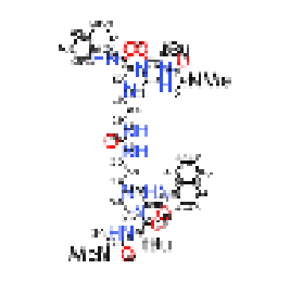 CN[C@@H](C)C(=O)N[C@H](C(=O)N1CCN(CCCNC(=O)NCCCN2CCN(C(=O)[C@@H](NC(=O)[C@H](C)NC)C(C)(C)C)[C@H](C(=O)N[C@@H]3CCCc4ccccc43)C2)C[C@H]1C(=O)N[C@@H]1CCCc2ccccc21)C(C)(C)C